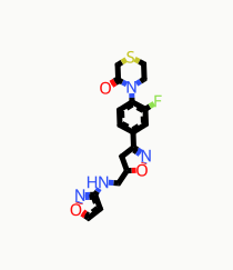 O=C1CSCCN1c1ccc(C2=NOC(CNc3ccon3)C2)cc1F